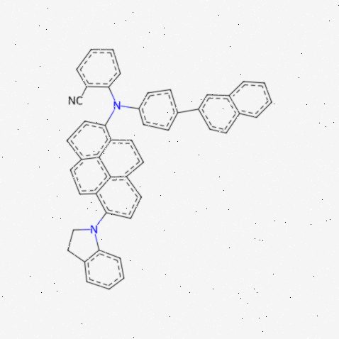 N#Cc1ccccc1N(c1ccc(-c2ccc3ccccc3c2)cc1)c1ccc2ccc3c(N4CCc5ccccc54)ccc4ccc1c2c43